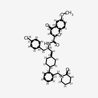 COc1ccc2oc(C(=O)N[C@@H](C=C3CCC(c4ccccc4CN4CCCCC4=O)CC3)Cc3ccc(Cl)cc3)cc(=O)c2c1